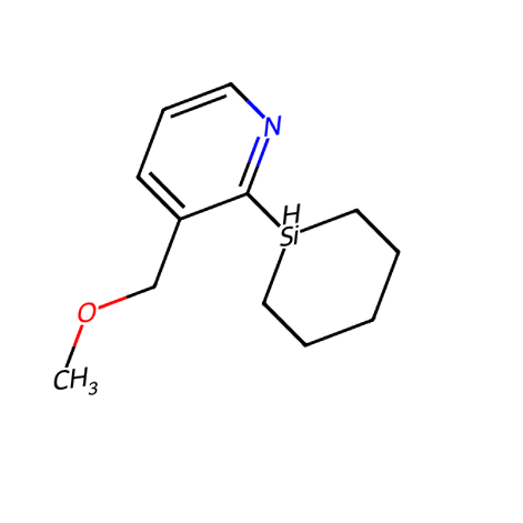 COCc1cccnc1[SiH]1CCCCC1